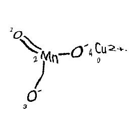 [Cu+2].[O]=[Mn]([O-])[O-]